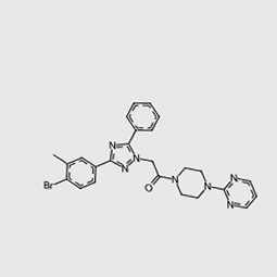 Cc1cc(-c2nc(-c3ccccc3)n(CC(=O)N3CCN(c4ncccn4)CC3)n2)ccc1Br